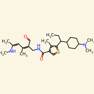 CCC(c1scc(C(=O)NC/C(C=O)=C(C)/C=C(/C)NC)c1C)C1CCC(N(C)C)CC1